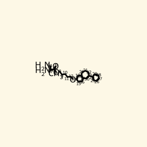 CC(N)(CN)C(=O)OCCCCCOc1ccc2c(c1)CCCC(c1ccccc1)=C2